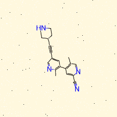 Cc1cnc(C#N)cc1-c1cc(C#CC2CCNCC2)cnc1C